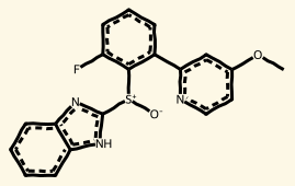 COc1ccnc(-c2cccc(F)c2[S+]([O-])c2nc3ccccc3[nH]2)c1